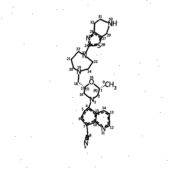 C[C@@H]1CN(c2ccc(C#N)c3ncccc23)C[C@H](CN2CCCN(c3nc4c(s3)CNCC4)CC2)O1